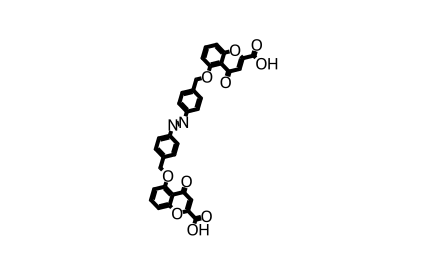 O=C(O)c1cc(=O)c2c(OCc3ccc(N=Nc4ccc(COc5cccc6oc(C(=O)O)cc(=O)c56)cc4)cc3)cccc2o1